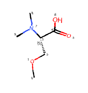 COC[C@@H](C(=O)O)N(C)C